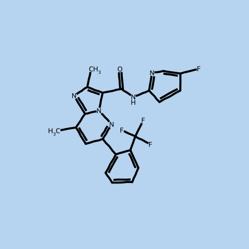 Cc1nc2c(C)cc(-c3ccccc3C(F)(F)F)nn2c1C(=O)Nc1ccc(F)cn1